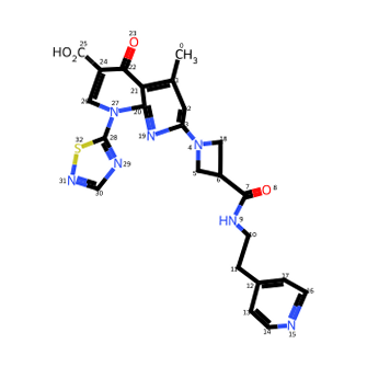 Cc1cc(N2CC(C(=O)NCCc3ccncc3)C2)nc2c1c(=O)c(C(=O)O)cn2-c1ncns1